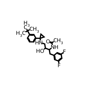 CC(=O)NC(Cc1cc(F)cc(F)c1)C(O)CNC1(c2cccc(C(C)(C)C)c2)CC1